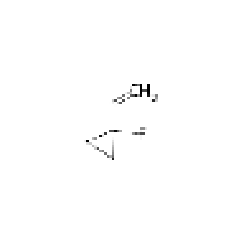 C=CC1(F)CC1